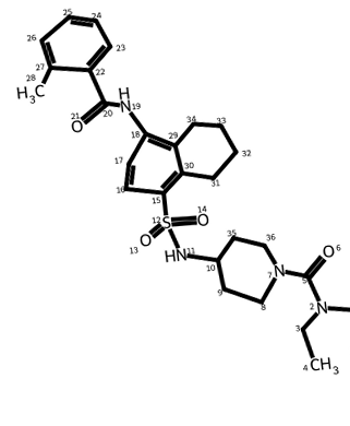 CCN(CC)C(=O)N1CCC(NS(=O)(=O)c2ccc(NC(=O)c3ccccc3C)c3c2CCCC3)CC1